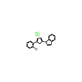 Cl.Cl.[Zr][c]1ccccc1C1=CC=C(C2C=Cc3ccccc32)C1